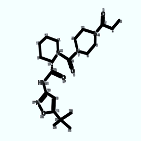 CCC(=O)N1CCN(C(=O)N2CCCC[C@H]2C(=O)Nc2cc(C(C)(C)C)on2)CC1